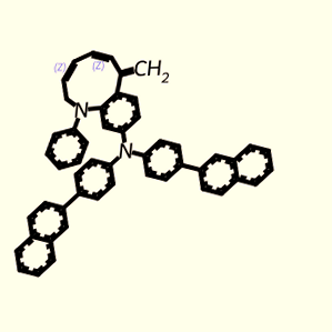 C=C1/C=C\C=C/CN(c2ccccc2)c2cc(N(c3ccc(-c4ccc5ccccc5c4)cc3)c3ccc(-c4ccc5ccccc5c4)cc3)ccc21